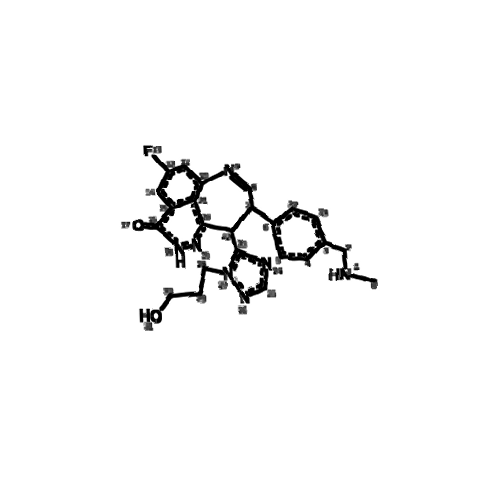 CNCc1ccc(C2C=Nc3cc(F)cc4c(=O)[nH]nc(c34)C2c2ncnn2CCCO)cc1